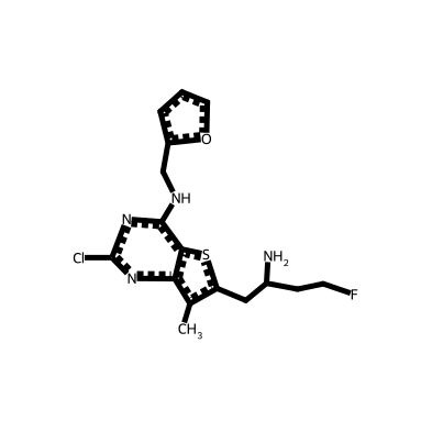 Cc1c(CC(N)CCF)sc2c(NCc3ccco3)nc(Cl)nc12